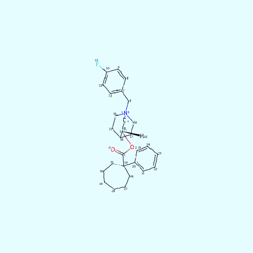 O=C(O[C@H]1C[N+]2(Cc3ccc(F)cc3)CCC1CC2)C1(c2ccccc2)CCCCCC1